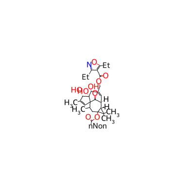 CCCCCCCCCC(=O)O[C@@]12CC(C)C34C=C(C)[C@H](O)[C@@]3(O)[C@H](O)C(COC(=O)c3c(CC)noc3CC)=C[C@H](C4=O)[C@@H]1C2(C)C